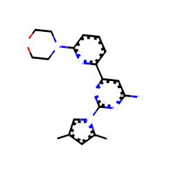 Cc1cc(C)n(-c2nc(N)cc(-c3cccc(N4CCOCC4)n3)n2)c1